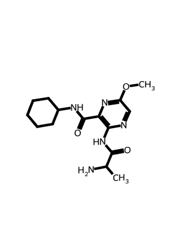 COc1cnc(NC(=O)C(C)N)c(C(=O)NC2CCCCC2)n1